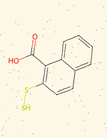 O=C(O)c1c(SS)ccc2ccccc12